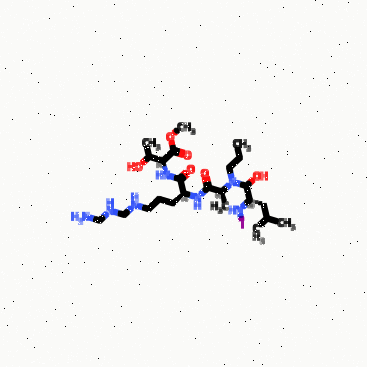 CCCN(C(O)[C@H](CC(C)C)NI)[C@@H](C)C(=O)N[C@@H](CCCNCNCN)C(=O)N[C@H](C(=O)OC)C(C)O